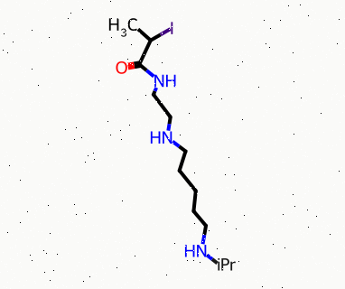 CC(C)NCCCCCNCCNC(=O)C(C)I